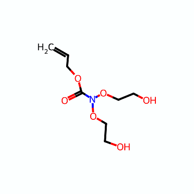 C=CCOC(=O)N(OCCO)OCCO